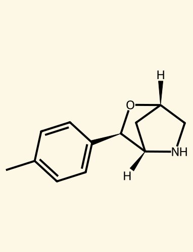 Cc1ccc([C@H]2O[C@@H]3CN[C@H]2C3)cc1